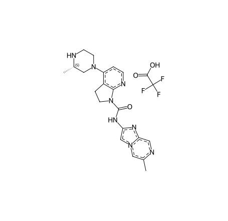 Cc1cn2cc(NC(=O)N3CCc4c(N5CCN[C@@H](C)C5)ccnc43)nc2cn1.O=C(O)C(F)(F)F